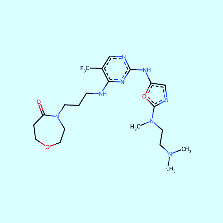 CN(C)CCN(C)c1ncc(Nc2ncc(C(F)(F)F)c(NCCCN3CCOCCC3=O)n2)o1